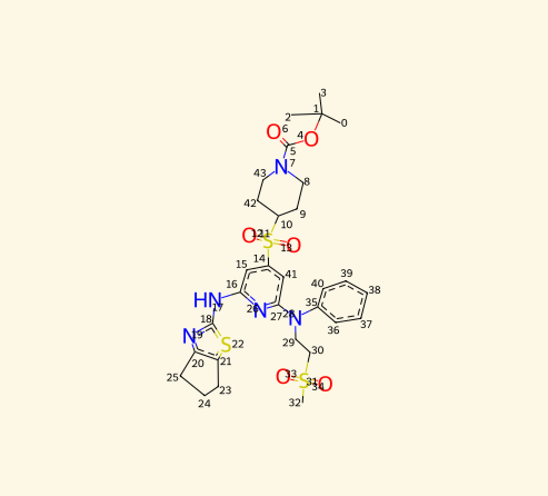 CC(C)(C)OC(=O)N1CCC(S(=O)(=O)c2cc(Nc3nc4c(s3)CCC4)nc(N(CCS(C)(=O)=O)c3ccccc3)c2)CC1